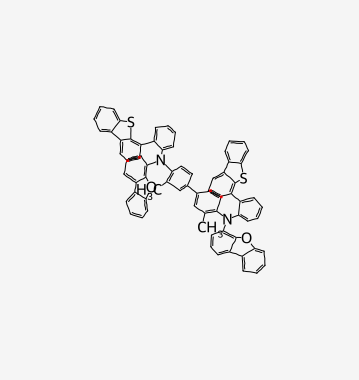 Cc1cc(-c2ccc(N(c3ccccc3-c3cccc4c3sc3ccccc34)c3cccc4c3oc3ccccc34)c(C)c2)ccc1N(c1ccccc1-c1cccc2c1sc1ccccc12)c1cccc2c1oc1ccccc12